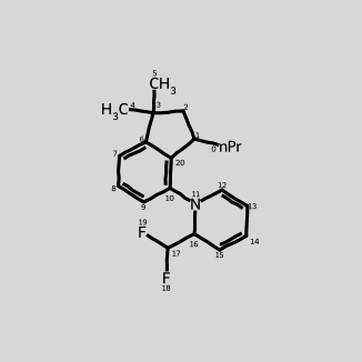 CCCC1CC(C)(C)c2cccc(N3C=CC=CC3C(F)F)c21